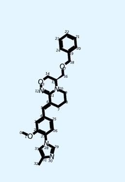 COc1cc(/C=C2\CCCN3C2=NOC[C@H]3COCc2ccccc2)ccc1-n1cnc(C)c1